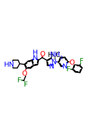 Cc1cc(Oc2c(F)cccc2F)ncc1-n1ncc(C(=O)c2cc3cc(OCC(F)F)c(C4CCNCC4)cc3[nH]2)c1N